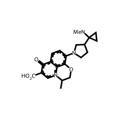 CNC1(C2CCN(c3ccc4c(=O)c(C(=O)O)cn5c4c3OCC5C)C2)CC1